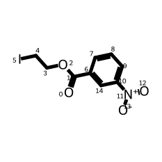 O=C(OCCI)c1cccc([N+](=O)[O-])c1